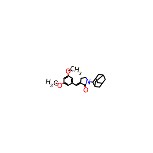 COc1cc(/C=C2\CCN(C3C4CC5CC(C4)CC3C5)C2=O)cc(OC)c1